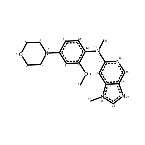 COc1cc(N2CCOCC2)ccc1N(C)c1cc2c(cn1)ncn2C